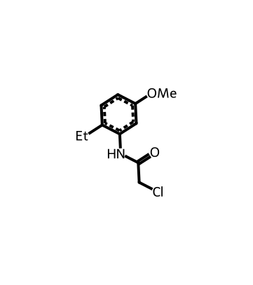 CCc1ccc(OC)cc1NC(=O)CCl